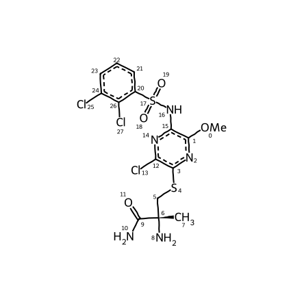 COc1nc(SC[C@](C)(N)C(N)=O)c(Cl)nc1NS(=O)(=O)c1cccc(Cl)c1Cl